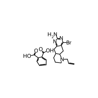 C=CCN1CCCC2Cc3nc(N)nc(Br)c3CC21.O=C(O)c1ccccc1C(=O)O